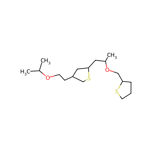 CC(C)OCCC1CSC(CC(C)OCC2CCCS2)C1